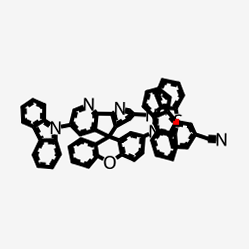 N#Cc1ccc2c(c1)c1ccccc1n2-c1ccc2c(c1)C1(c3ccccc3O2)c2cc(N3c4ccccc4Sc4ccccc43)cnc2-c2ncc(-n3c4ccccc4c4ccccc43)cc21